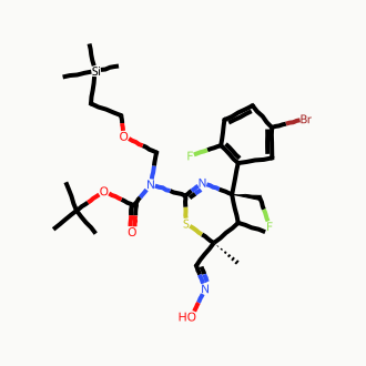 CC1[C@@](C)(/C=N/O)SC(N(COCC[Si](C)(C)C)C(=O)OC(C)(C)C)=N[C@]1(CF)c1cc(Br)ccc1F